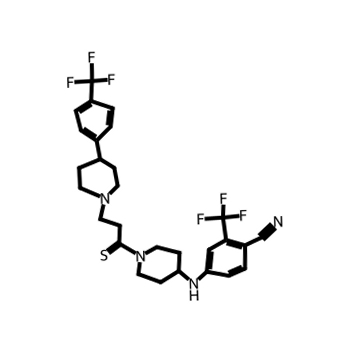 N#Cc1ccc(NC2CCN(C(=S)CCN3CCC(c4ccc(C(F)(F)F)cc4)CC3)CC2)cc1C(F)(F)F